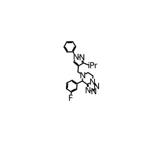 CC(C)c1nn(-c2ccccc2)cc1CN1CCn2nnnc2C1c1cccc(F)c1